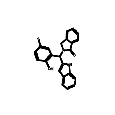 O=C1c2ccccc2CN1C(c1cc2ccccc2[nH]1)c1cc(F)ccc1O